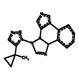 CC1(c2cnnn2N2C=NC3c4ccccc4-n4cncc4N32)CC1